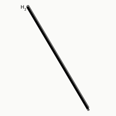 C=C=C=C=C=C=C=C=C=C=C=C=C=C=C=C=C=C=C=C=C=C=C=C=C=C=C=C=C=C=C=C=C=C=C=C=C=C=C=C=C=C=C=C=C=C=C=C=C=C=C=C=C=C=C=C=C=C=C=C=C=C=C=C=C=C=C=C=C=C=C=C=C=C=C=C=C=C=C=C=C=C=C=C=C=C=C=C=C=C=C=C=C=C=C=C=C=C=C=C=C=C=C=C=C=C=C=C=C=C=C=C=C=C=C=C=C=S